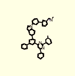 C/N=C/c1cccc(-c2cccc(-n3ccc4cc(-c5cc(-c6ccccc6)cc(-c6cc(-c7ccccc7)nc(C7=CC=CC(C)C7)n6)c5)ccc43)c2)c1